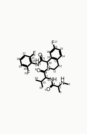 CNC(C)C(=O)NC(C(=O)N1CCc2ccc(F)cc2C1C(=O)Nc1c(F)cccc1F)C(C)C